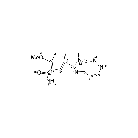 COc1ccc(-c2nc3ccnnc3[nH]2)cc1C(N)=O